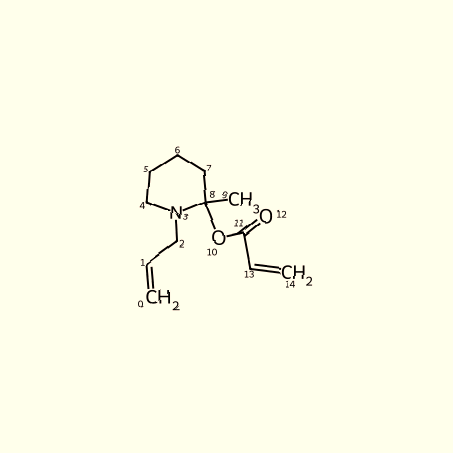 C=CCN1CCCCC1(C)OC(=O)C=C